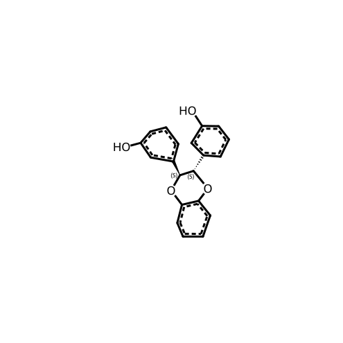 Oc1cccc([C@@H]2Oc3ccccc3O[C@H]2c2cccc(O)c2)c1